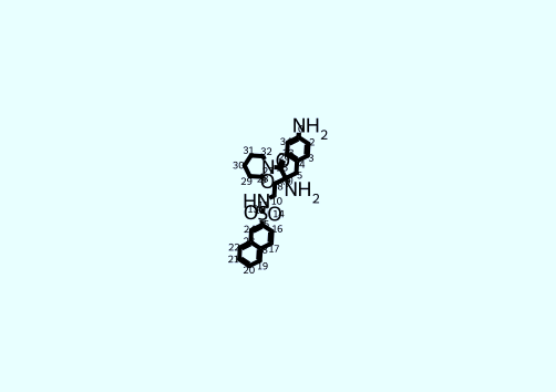 Nc1ccc(C[C@@](N)(C(=O)CNS(=O)(=O)c2ccc3ccccc3c2)C(=O)N2CCCCC2)cc1